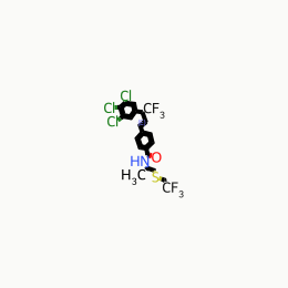 CC(CSCC(F)(F)F)NC(=O)c1ccc(/C=C/C(c2cc(Cl)c(Cl)c(Cl)c2)C(F)(F)F)cc1